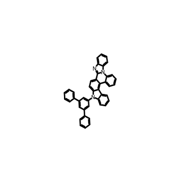 c1ccc(-c2cc(-c3ccccc3)cc(-n3c4ccccc4c4c5c6ccccc6n6c7ccccc7nc6c5ccc43)c2)cc1